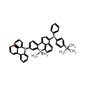 C[Si](C)(C)c1ccc(N(c2ccccc2)c2ccc3c4c(cccc24)[Si](C)(C)c2cc(N(c4ccccc4)c4ccccc4-c4ccccc4)ccc2-3)cc1